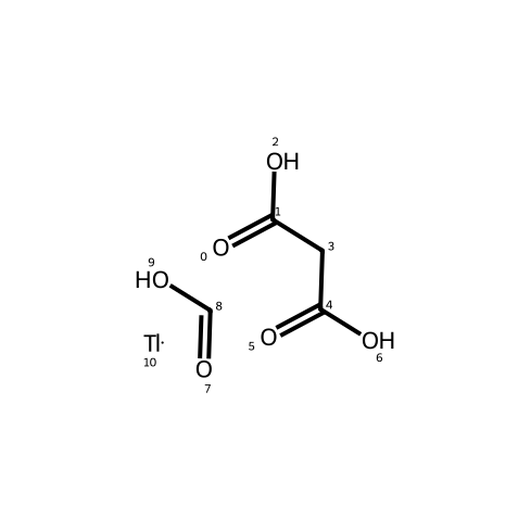 O=C(O)CC(=O)O.O=CO.[Tl]